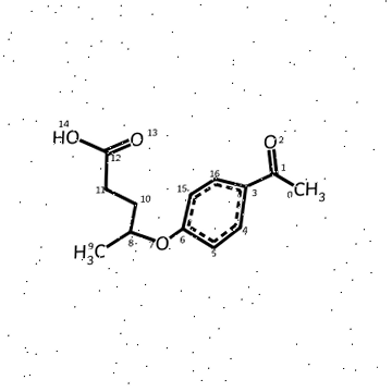 CC(=O)c1ccc(OC(C)CCC(=O)O)cc1